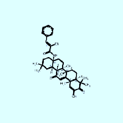 CC1(C)CC[C@]2(NC(=O)/C(C#N)=C/c3ccccc3)CC[C@]3(C)[C@H](C(=O)C=C4[C@@]5(C)C=C(C#N)C(=O)C(C)(C)[C@@H]5CC[C@]43C)[C@@H]2C1